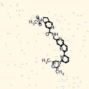 C[C@@H]1CN(c2cccc(-c3ccc4cnc(CNC(=O)c5cc6c(cn5)CCN6S(C)(=O)=O)cc4n3)n2)C[C@H](C)O1